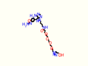 Nc1nc2cc(-c3nn(CCCCNC(=O)CCOCCOCCOCCOCCn4cc(CO)nn4)c4ncnc(N)c34)ccc2o1